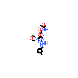 Cc1cccc(/C=N/Nc2nc(N3CCOCC3)c3oc(C(=O)NC4COC4)nc3n2)c1